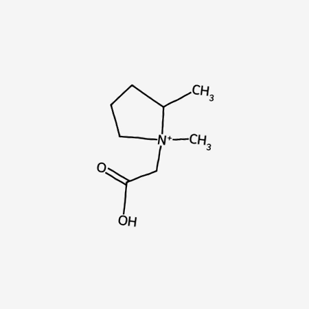 CC1CCC[N+]1(C)CC(=O)O